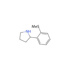 CSc1ccccc1C1CCCN1